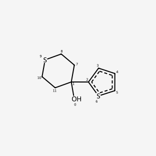 OC1(c2cccs2)CCSCC1